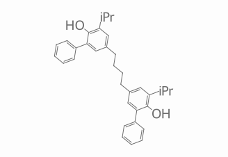 CC(C)c1cc(CCCCc2cc(-c3ccccc3)c(O)c(C(C)C)c2)cc(-c2ccccc2)c1O